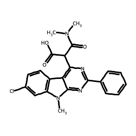 CN(C)C(=O)C(C(=O)O)c1nc(-c2ccccc2)nc2c1c1ccc(Cl)cc1n2C